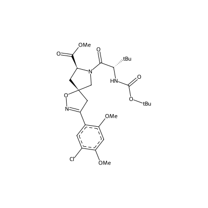 COC(=O)[C@@H]1C[C@]2(CC(c3cc(Cl)c(OC)cc3OC)=NO2)CN1C(=O)[C@@H](NC(=O)OC(C)(C)C)C(C)(C)C